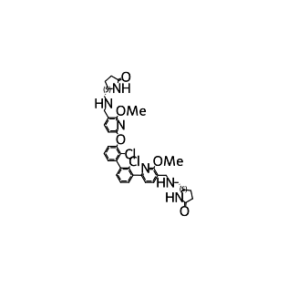 COc1nc(Oc2cccc(-c3cccc(-c4ccc(CNC[C@@H]5CCC(=O)N5)c(OC)n4)c3Cl)c2Cl)ccc1CNC[C@@H]1CCC(=O)N1